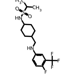 CC(C)S(=O)(=O)NC1CCC(CNc2ccc(F)c(C(F)(F)F)c2)CC1